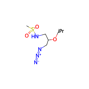 CC(C)OC(CN=[N+]=[N-])CNS(C)(=O)=O